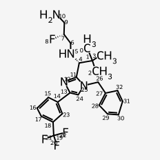 CC(C)(C)[C@@H](NC[C@H](F)CN)c1nc(-c2cccc(C(F)(F)F)c2)cn1Cc1ccccc1